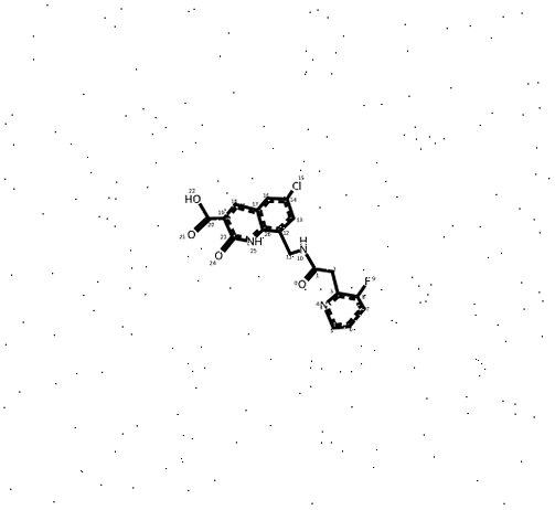 O=C(Cc1ncccc1F)NCc1cc(Cl)cc2cc(C(=O)O)c(=O)[nH]c12